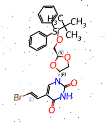 CC(C)(C)[Si](OC[C@H]1OC[C@H](n2cc(/C=C/Br)c(=O)[nH]c2=O)O1)(c1ccccc1)c1ccccc1